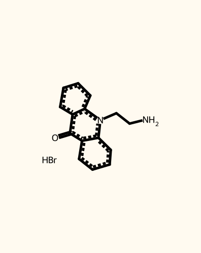 Br.NCCn1c2ccccc2c(=O)c2ccccc21